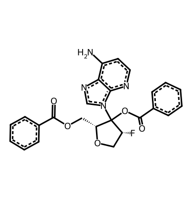 Nc1ccnc2c1ncn2C1(OC(=O)c2ccccc2)[C@H](F)CO[C@@H]1COC(=O)c1ccccc1